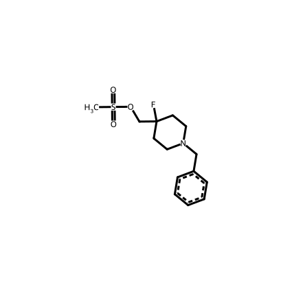 CS(=O)(=O)OCC1(F)CCN(Cc2ccccc2)CC1